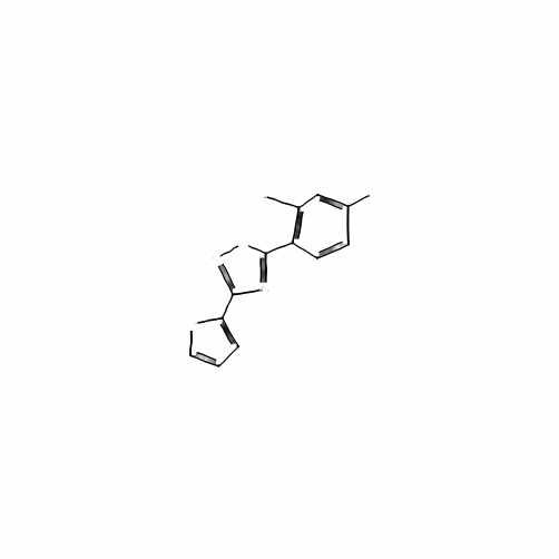 Cc1ccc(-c2nc(-c3ccco3)ns2)c(Cl)c1